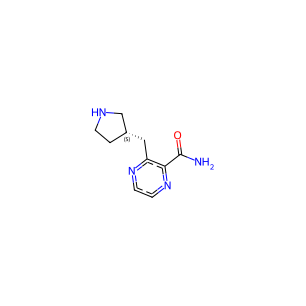 NC(=O)c1nccnc1C[C@@H]1CCNC1